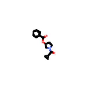 O=C(OC1CCN(C(=O)C2CC2)C1)c1ccccc1